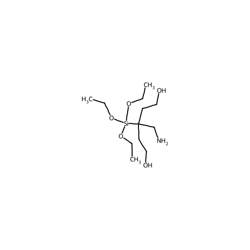 CCO[Si](OCC)(OCC)C(CN)(CCO)CCO